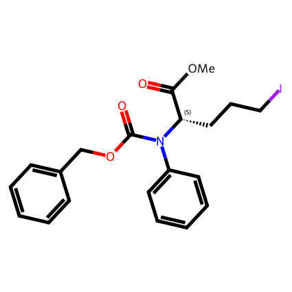 COC(=O)[C@H](CCCI)N(C(=O)OCc1ccccc1)c1ccccc1